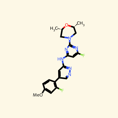 COc1ccc(-c2cnnc(Nc3cc(F)nc(N4C[C@@H](C)O[C@@H](C)C4)n3)c2)c(F)c1